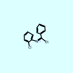 CC/C(=N/c1ccccc1Cl)c1ccccc1